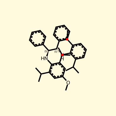 COc1cc(C(C)C)c(N[C@@H](c2ccccc2)[C@@H](Nc2c(C(C)C)cccc2C(C)C)c2ccccc2)c(C(C)C)c1